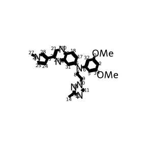 COc1cc(OC)cc(N(CCn2cnc(C)n2)c2ccc3ncc(-c4ccn(C)c4)nc3c2)c1